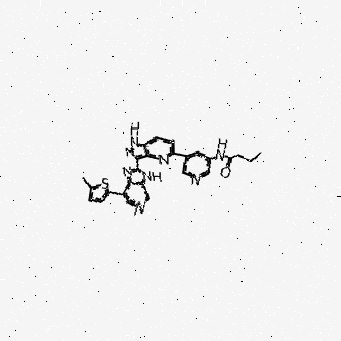 CCCC(=O)Nc1cncc(-c2ccc3[nH]nc(-c4nc5c(-c6ccc(C)s6)cncc5[nH]4)c3n2)c1